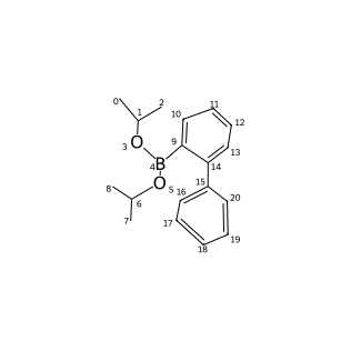 CC(C)OB(OC(C)C)c1ccccc1-c1ccccc1